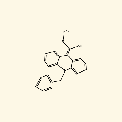 CCCSC(S)=C1c2ccccc2N(Cc2ccccc2)c2ccccc21